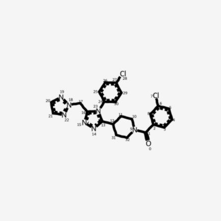 O=C(c1cccc(Cl)c1)N1CCC(c2nnc(Cn3nccn3)n2-c2ccc(Cl)cc2)CC1